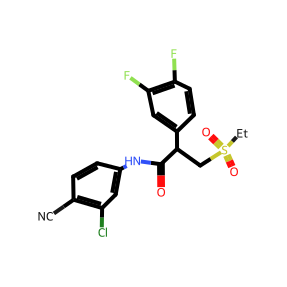 CCS(=O)(=O)CC(C(=O)Nc1ccc(C#N)c(Cl)c1)c1ccc(F)c(F)c1